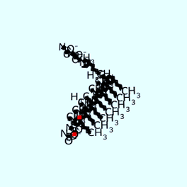 CCCCCc1cc[n+](CC)cc1.CCCCCc1cc[n+](CC)cc1.CCCCCc1cc[n+](CC)cc1.CCCCCc1cc[n+](CC)cc1.CCCCCc1cc[n+](CC)cc1.CCCCCc1cc[n+](CC)cc1.CCCCCc1cc[n+](CC)cc1.CCCCCc1cc[n+](CC)cc1.N#CB([O-])[O-].N#CB([O-])[O-].N#CB([O-])[O-].N#CB([O-])[O-]